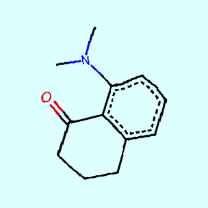 CN(C)c1cccc2c1C(=O)CCC2